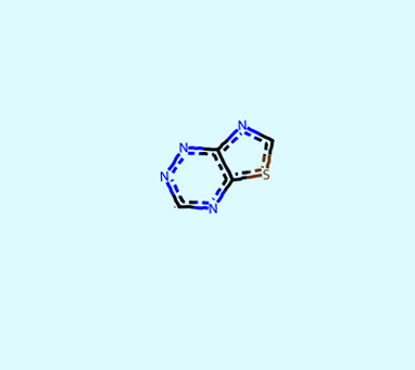 [c]1nnc2ncsc2n1